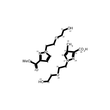 COC(=O)c1ccn(CCOCCO)n1.Cc1cn(CCOCCO)nc1C(=O)O